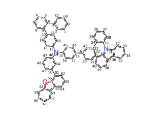 c1ccc(-c2ccccc2-c2ccc(N(c3ccc(-c4cccc(-c5ccccc5-n5c6ccccc6c6ccccc65)c4)cc3)c3cccc(-c4cccc5c4oc4ccccc45)c3)cc2)cc1